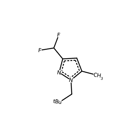 Cc1cc(C(F)F)nn1CC(C)(C)C